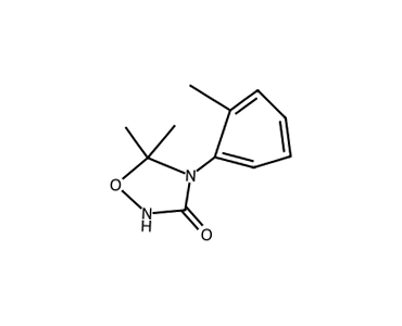 Cc1ccccc1N1C(=O)NOC1(C)C